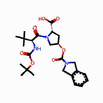 CC(C)(C)OC(=O)N[C@H](C(=O)N1C[C@H](OC(=O)N2Cc3ccccc3C2)C[C@H]1C(=O)O)C(C)(C)C